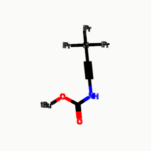 CC(C)[Si](C#CNC(=O)OC(C)(C)C)(C(C)C)C(C)C